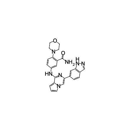 NC(=O)c1cc(Nc2nc(-c3ccc4cn[nH]c4c3)cn3cccc23)ccc1N1CCOCC1